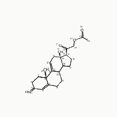 C[C@]12CCC(=N)C=C1CCC1C2=CC[C@@]2(C)C1CC[C@@H]2C(=O)COC(=O)I